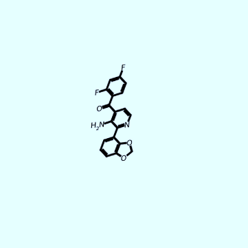 Nc1c(C(=O)c2ccc(F)cc2F)ccnc1-c1cccc2c1OCO2